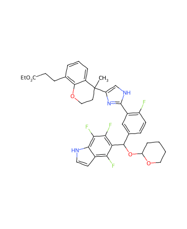 CCOC(=O)CCc1cccc2c1OCCC2(C)c1c[nH]c(-c2cc(C(OC3CCCCO3)c3c(F)c(F)c4[nH]ccc4c3F)ccc2F)n1